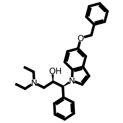 CCN(CC)C[C@@H](O)[C@H](c1ccccc1)n1ccc2cc(OCc3ccccc3)ccc21